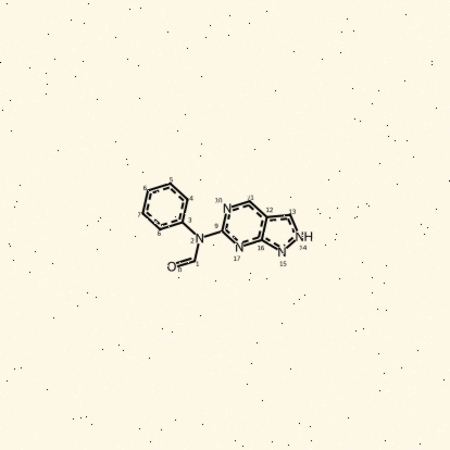 O=CN(c1ccccc1)c1ncc2c[nH]nc2n1